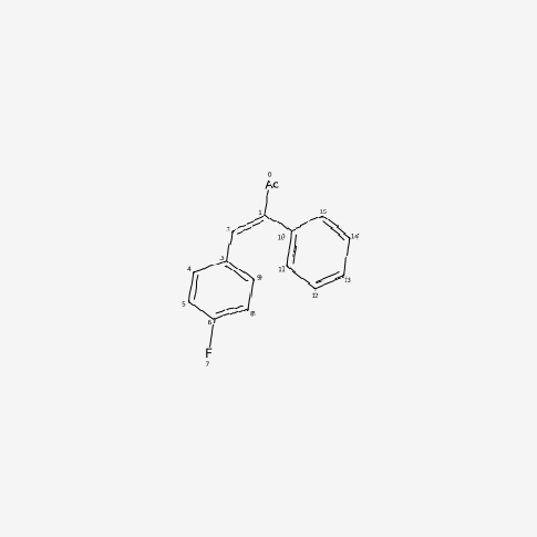 CC(=O)C(=Cc1ccc(F)cc1)c1ccccc1